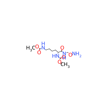 COC(=O)NCCCCC(NC(=O)OC)C(=O)NCON